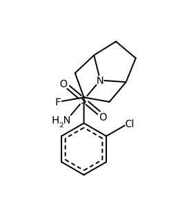 NS(=O)(=O)N1C2CCC1CC(F)(c1ccccc1Cl)C2